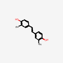 CC(C)(C)c1cc(C=Cc2ccc(O)c(C(C)(C)C)c2)ccc1O